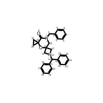 O=C1N(Cc2ccccc2)CC2(CN(C(c3ccccc3)c3ccccc3)C2)OC12CC2